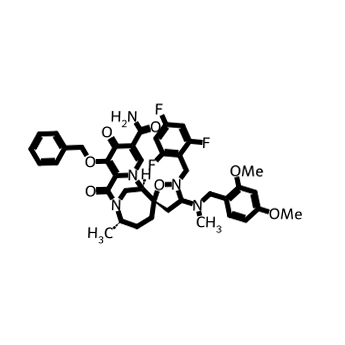 COc1ccc(CN(C)C2C[C@]3(CC[C@H](C)N4C[C@H]3n3cc(C(N)=O)c(=O)c(OCc5ccccc5)c3C4=O)ON2Cc2c(F)cc(F)cc2F)c(OC)c1